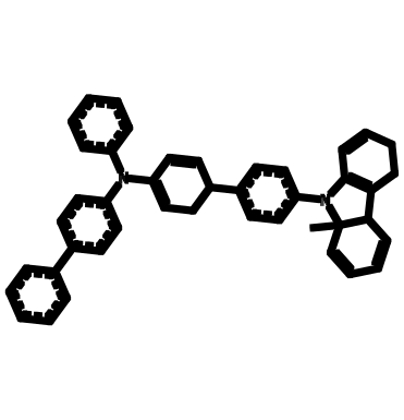 CC12C=CC=CC1C1=C(C=CCC1)N2c1ccc(C2C=CC(N(c3ccccc3)c3ccc(-c4ccccc4)cc3)=CC2)cc1